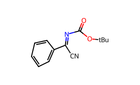 CC(C)(C)OC(=O)N=C(C#N)c1ccccc1